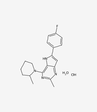 Cc1nc(N2CCCCC2C)c2[nH]c(-c3ccc(F)cc3)cc2n1.Cl.O